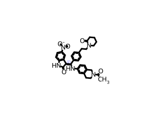 CC(=O)N1CCc2cc(N/C(=C3\C(=O)Nc4ccc([N+](=O)[O-])cc43)c3ccc(CCN4CCCCC4=O)cc3)ccc2C1